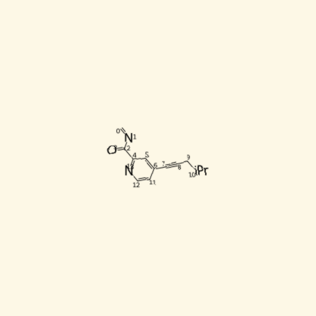 C=NC(=O)c1cc(C#CCC(C)C)ccn1